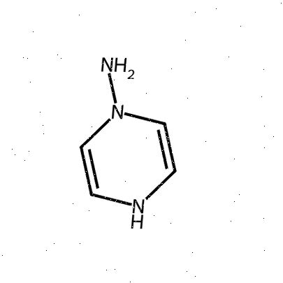 NN1C=CNC=C1